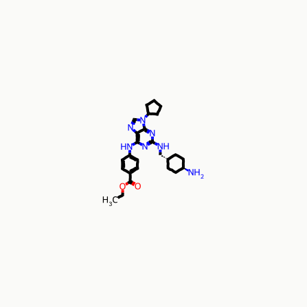 CCOC(=O)c1ccc(Nc2nc(NC[C@H]3CC[C@H](N)CC3)nc3c2ncn3C2CCCC2)cc1